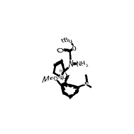 COc1cccc(N(C)C)c1C[C@@]1(N(N)C(=O)OC(C)(C)C)CCCN1